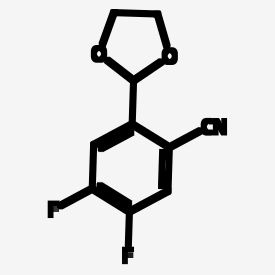 N#Cc1cc(F)c(F)cc1C1OCCO1